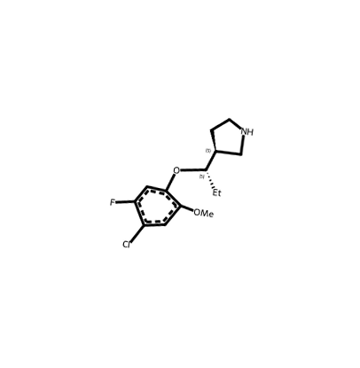 CC[C@H](Oc1cc(F)c(Cl)cc1OC)[C@H]1CCNC1